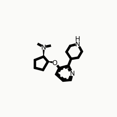 CN(C)[C@@H]1CCC[C@@H]1Oc1cccnc1C1CCNCC1